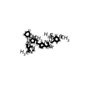 COc1ccc(CNc2nc3cc(CC[C@@]4(C)C[C@@H](n5ccc6c(C)ncnc65)[C@@H]5OC6(CCCCC6)O[C@@H]54)ccc3cc2Br)c(OC)c1